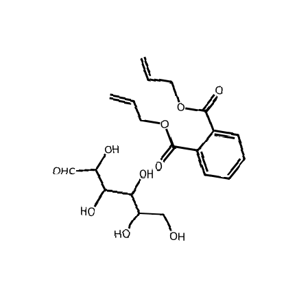 C=CCOC(=O)c1ccccc1C(=O)OCC=C.O=CC(O)C(O)C(O)C(O)CO